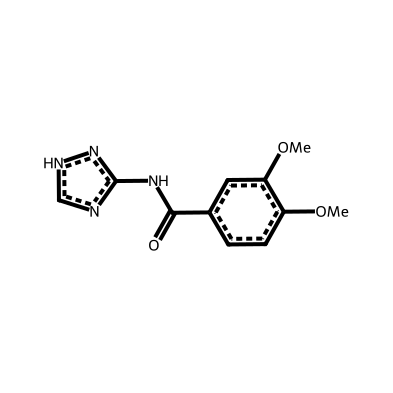 COc1ccc(C(=O)Nc2nc[nH]n2)cc1OC